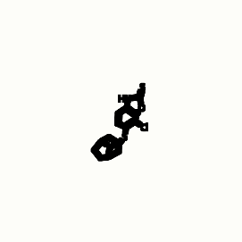 CN1C2CCC1CC(Sc1ccc3[nH]c(=S)oc3c1Cl)C2